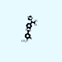 CCC(CC)C(c1ccc2nc(-c3ccc(C(=O)O)c(F)c3)sc2c1)n1cncn1